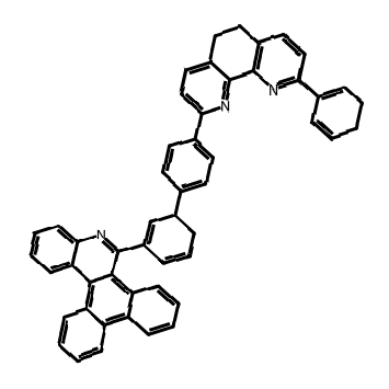 C1=CC(c2ccc3c(n2)-c2nc(-c4ccc(C5C=C(c6nc7ccccc7c7c8ccccc8c8ccccc8c67)C=CC5)cc4)ccc2CC3)=CCC1